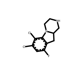 Fc1cc(Cl)c(Cl)c2c1CC1CNCCN21